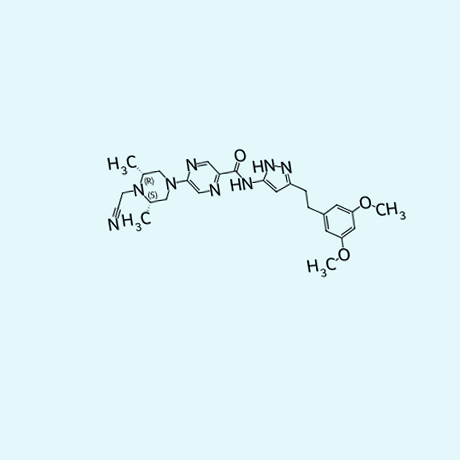 COc1cc(CCc2cc(NC(=O)c3cnc(N4C[C@@H](C)N(CC#N)[C@@H](C)C4)cn3)[nH]n2)cc(OC)c1